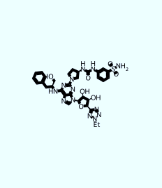 CCn1nnc([C@H]2O[C@@H](n3cnc4c(N[C@H](CO)Cc5ccccc5)nc(N5CC[C@@H](NC(=O)Nc6cccc(S(N)(=O)=O)c6)C5)nc43)[C@H](O)[C@@H]2O)n1